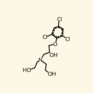 OCCN(CCO)CC(O)COc1c(Cl)cc(Cl)cc1Cl